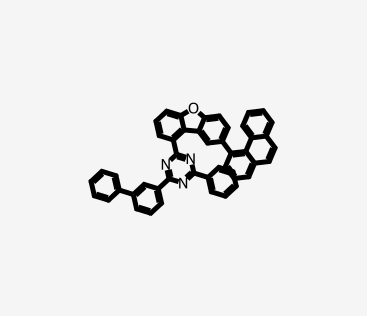 c1ccc(-c2cccc(-c3nc(-c4ccccc4)nc(-c4cccc5oc6ccc(-c7cccc8ccc9ccccc9c78)cc6c45)n3)c2)cc1